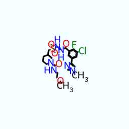 COCCNC(=O)N1CCCC(CS(=O)(=O)NNC(=O)c2cc(-c3cn(C)cn3)cc(Cl)c2F)C1